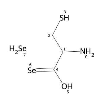 NC(CS)C(O)=[Se].[SeH2]